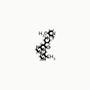 Cc1ccnc(F)c1N1CCC(c2cc3nccnc3n(Cc3nccnc3C)c2=O)CC1